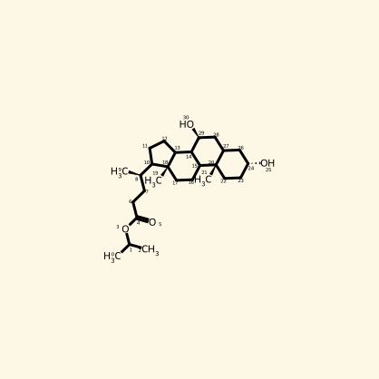 CC(C)OC(=O)CC[C@@H](C)C1CCC2C3C(CC[C@@]21C)[C@@]1(C)CC[C@@H](O)CC1C[C@@H]3O